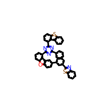 c1ccc(-c2nc(-c3cccc4oc5ccc(-c6cccc(-c7nc8ccccc8s7)c6)cc5c34)nc(-c3cccc4sc5ccccc5c34)n2)cc1